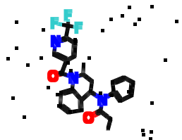 CCC(=O)N(c1ccccc1)C1CC(C)N(C(=O)c2ccc(C(F)(F)F)nc2)c2ccccc21